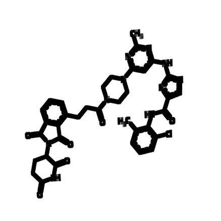 Cc1nc(Nc2ncc(C(=O)Nc3c(C)cccc3Cl)s2)cc(N2CCN(C(=O)CCc3cccc4c3C(=O)N(C3CCC(=O)NC3=O)C4=O)CC2)n1